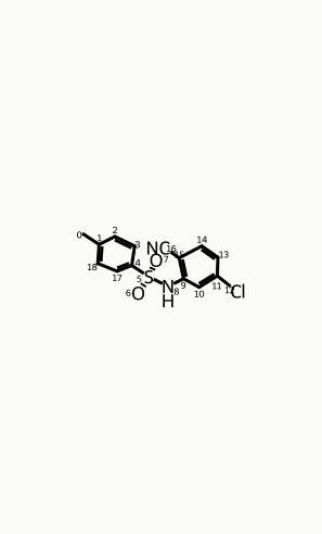 Cc1ccc(S(=O)(=O)Nc2cc(Cl)ccc2C#N)cc1